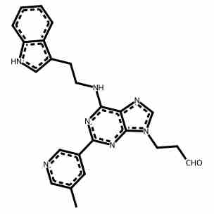 Cc1cncc(-c2nc(NCCc3c[nH]c4ccccc34)c3ncn(CCC=O)c3n2)c1